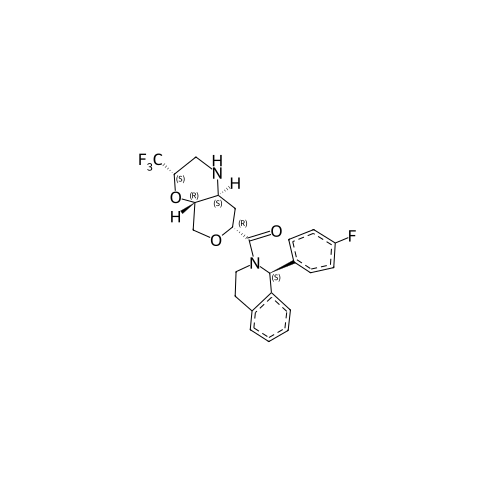 O=C([C@H]1C[C@@H]2NC[C@@H](C(F)(F)F)O[C@H]2CO1)N1CCc2ccccc2[C@@H]1c1ccc(F)cc1